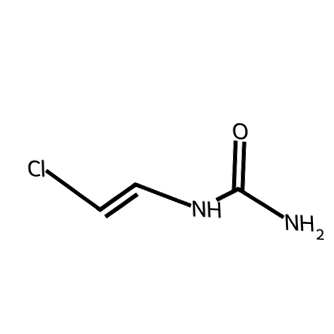 NC(=O)NC=CCl